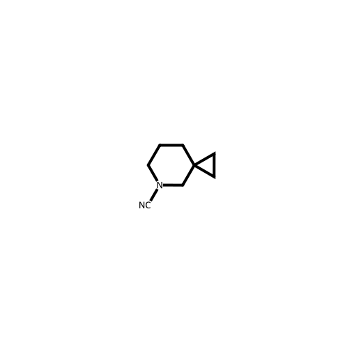 N#CN1CCCC2(CC2)C1